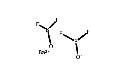 [Ba+2].[O-]B(F)F.[O-]B(F)F